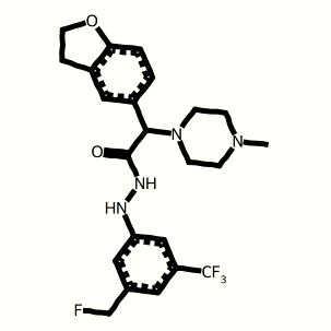 CN1CCN(C(C(=O)NNc2cc(CF)cc(C(F)(F)F)c2)c2ccc3c(c2)CCO3)CC1